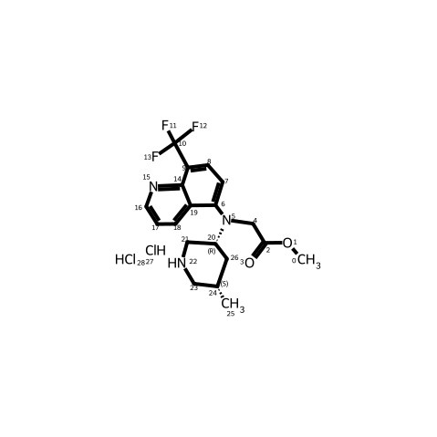 COC(=O)CN(c1ccc(C(F)(F)F)c2ncccc12)[C@H]1CNC[C@@H](C)C1.Cl.Cl